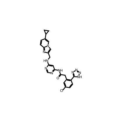 O=C(Cc1cc(Cl)ccc1-c1nnn[nH]1)Nc1cc(NCc2cn3cc(C4CC4)ccc3n2)ncn1